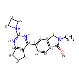 CN1Cc2cc(-c3nc(N4CCC4)nc4c3CCC4)ccc2C1=O